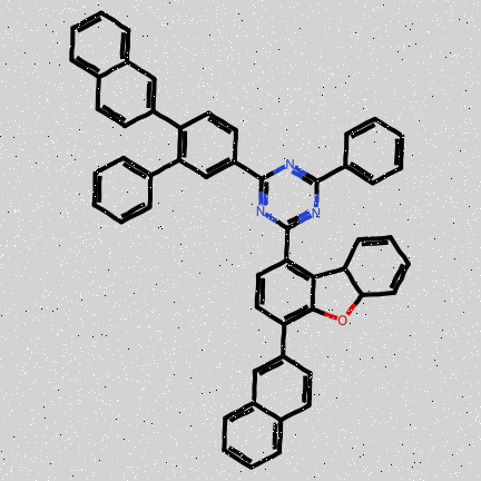 C1=CC2Oc3c(-c4ccc5ccccc5c4)ccc(-c4nc(-c5ccccc5)nc(-c5ccc(-c6ccc7ccccc7c6)c(-c6ccccc6)c5)n4)c3C2C=C1